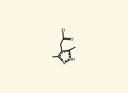 CCC(=O)Cc1c(C)n[nH]c1C